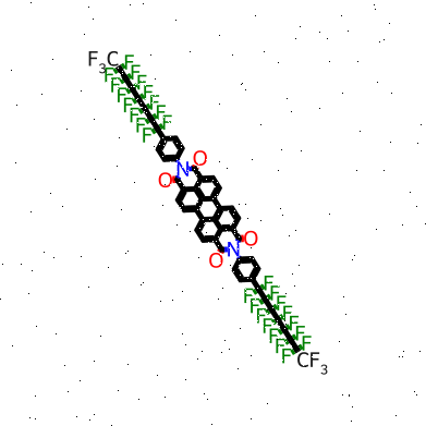 O=C1c2ccc3c4ccc5c6c(ccc(c7ccc(c2c37)C(=O)N1c1ccc(C(F)(F)C(F)(F)C(F)(F)C(F)(F)C(F)(F)C(F)(F)C(F)(F)C(F)(F)F)cc1)c64)C(=O)N(c1ccc(C(F)(F)C(F)(F)C(F)(F)C(F)(F)C(F)(F)C(F)(F)C(F)(F)C(F)(F)F)cc1)C5=O